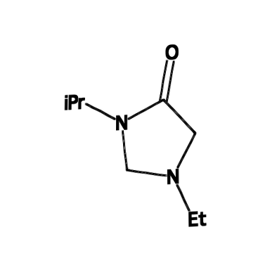 CCN1CC(=O)N(C(C)C)C1